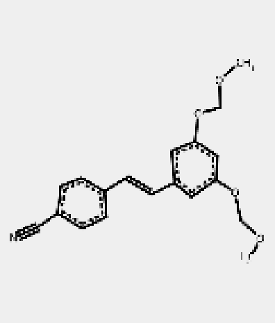 COCOc1cc(C=Cc2ccc(C#N)cc2)cc(OCOC)c1